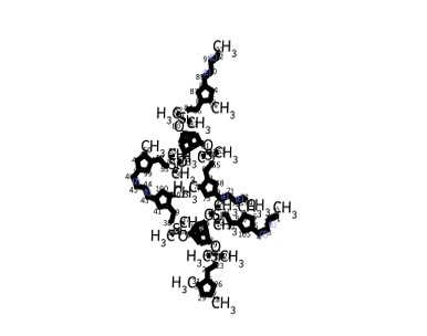 C/C=C/C=C\C1CC(C)C(CC[Si](C)(C)OC2C3C(O[Si](C)(C)CCC4CC(C)CC4C)C4C(O[Si](C)(C)CCC5CC(/C=C/C=C\C6CC(C)C(CC[Si](C)(C)OC7C8C(O[Si](C)(C)CCC9CC(/C=C/C=C/C)CC9C)C9C(O[Si](C)(C)CCC%10CC(/C=C/C=C/C)CC%10C)C7C89)C6)CC5C)C2C34)C1